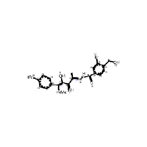 CN/C(=C(/O)C(=N)/C(C)=N/NC(=O)c1ccc(CO)c(Br)c1)c1ccc(C(C)(C)C)cc1